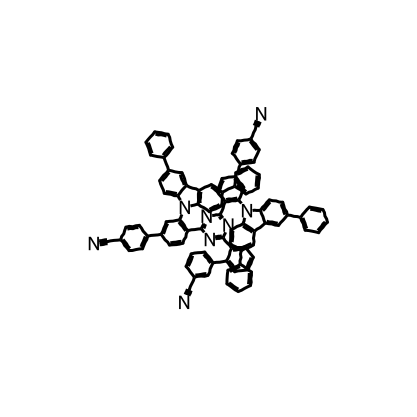 N#Cc1ccc(-c2ccc(-c3nc(-c4ccccc4-c4cccc(C#N)c4)nc(-c4ccc(-c5ccc(C#N)cc5)cc4-n4c5ccc(-c6ccccc6)cc5c5cc(-c6ccccc6)ccc54)n3)c(-n3c4ccc(-c5ccccc5)cc4c4cc(-c5ccccc5)ccc43)c2)cc1